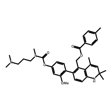 COc1cc(OC(=O)N(C)CCCN(C)C)ccc1-c1ccc2c(c1COC(=O)c1ccc(C)cc1)C(C)=CC(C)(C)N2